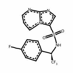 O=S(=O)(N[C@H](c1ccc(F)cc1)C(F)(F)F)c1cnc2ncccn12